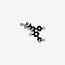 Cc1c(S(=O)(=O)C(C)(C)C)oc2nc(-c3ccc(-c4cn[nH]c4)cc3Cl)c(-c3ccc(Cl)cc3)cc12